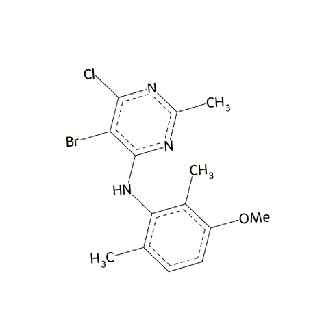 COc1ccc(C)c(Nc2nc(C)nc(Cl)c2Br)c1C